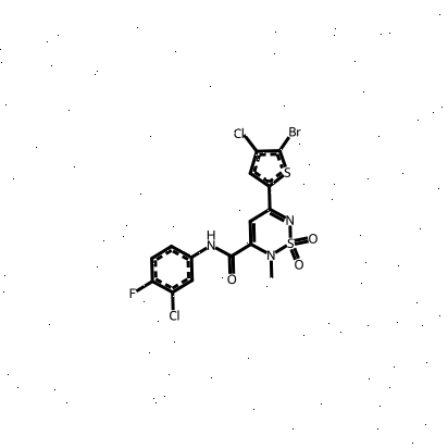 CN1C(C(=O)Nc2ccc(F)c(Cl)c2)=CC(c2cc(Cl)c(Br)s2)=NS1(=O)=O